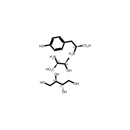 C[C@@H](O)[C@H](N)C(=O)O.N[C@@H](Cc1ccc(O)cc1)C(=O)O.OC[C@@H](O)[C@@H](O)CO